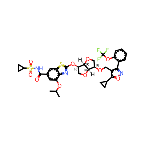 CC(C)Oc1cc(C(=O)NS(=O)(=O)C2CC2)cc2sc(O[C@@H]3CO[C@H]4[C@@H]3OC[C@H]4OCc3c(-c4ccccc4OC(F)(F)F)noc3C3CC3)nc12